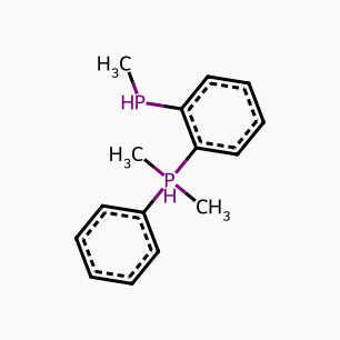 CPc1ccccc1[PH](C)(C)c1ccccc1